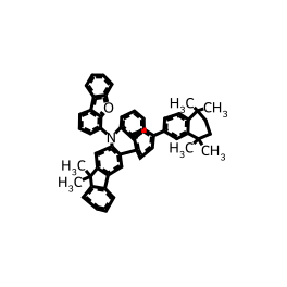 CC1(C)CCC(C)(C)c2cc(-c3ccc(-c4cc5c(cc4N(c4ccccc4)c4cccc6c4oc4ccccc46)C(C)(C)c4ccccc4-5)cc3)ccc21